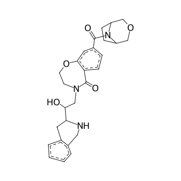 O=C1c2ccc(C(=O)N3C4CCC3COC4)cc2OCCN1CC(O)C1Cc2ccccc2CN1